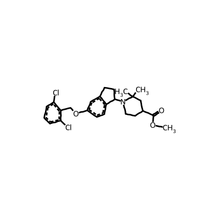 COC(=O)C1CCN(C2CCc3cc(OCc4c(Cl)cccc4Cl)ccc32)C(C)(C)C1